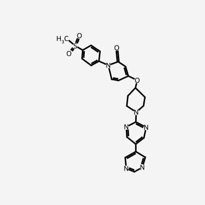 CS(=O)(=O)c1ccc(-n2ccc(OC3CCN(c4ncc(-c5cncnc5)cn4)CC3)cc2=O)cc1